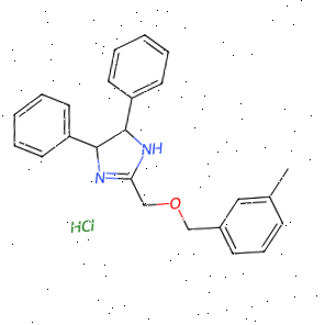 Cc1cccc(COCC2=NC(c3ccccc3)C(c3ccccc3)N2)c1.Cl